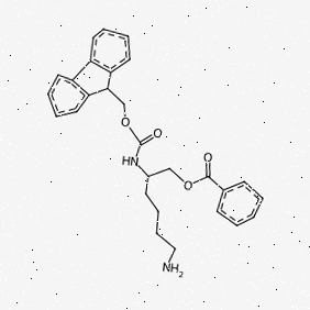 NCCCCC(COC(=O)c1ccccc1)NC(=O)OCC1c2ccccc2-c2ccccc21